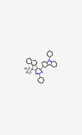 CC1(C)c2nc(-c3ccccc3)nc(-c3ccc4c(c3)c3ccccc3n4-c3ccccc3)c2-c2ccc3ccccc3c21